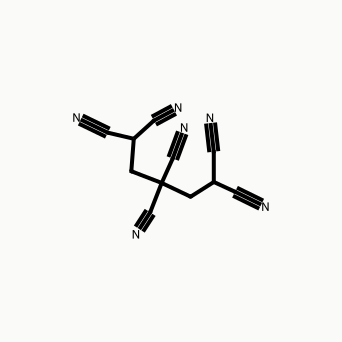 N#CC(C#N)CC(C#N)(C#N)CC(C#N)C#N